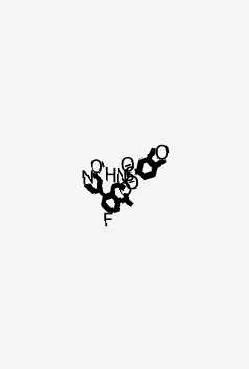 COc1cc(-c2cc(F)cc(C(C)C)c2CC(=O)NS(=O)(=O)c2ccc3c(c2)COC3)ccn1